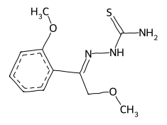 COCC(=NNC(N)=S)c1ccccc1OC